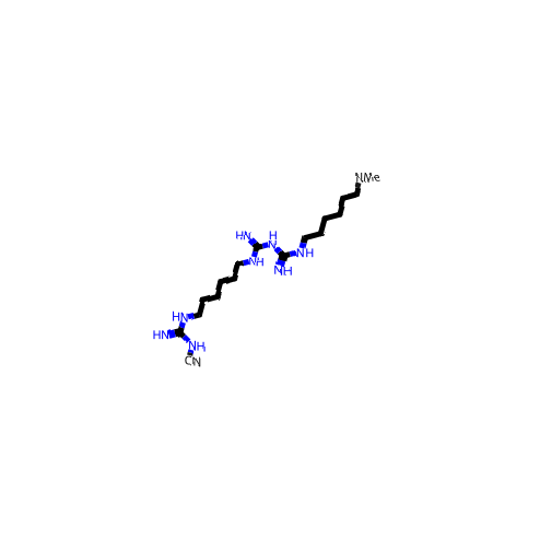 CNCCCCCCNC(=N)NC(=N)NCCCCCCNC(=N)NC#N